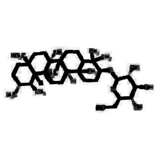 C[C@H]1[C@H](C)CC[C@]2(C(=O)O)CC[C@]3(C)C(=CC[C@@H]4[C@@]5(C)CC[C@H](O[C@@H]6O[C@H](CO)[C@@H](O)[C@H](O)[C@H]6O)C(C)(C)C5CC[C@]43C)[C@H]12